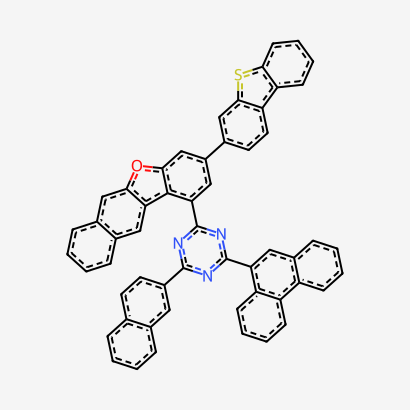 c1ccc2cc(-c3nc(-c4cc5ccccc5c5ccccc45)nc(-c4cc(-c5ccc6c(c5)sc5ccccc56)cc5oc6cc7ccccc7cc6c45)n3)ccc2c1